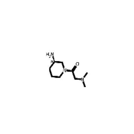 CN(C)CC(=O)N1CCC[C@@H](N)C1